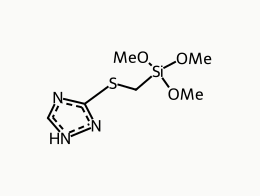 CO[Si](CSc1nc[nH]n1)(OC)OC